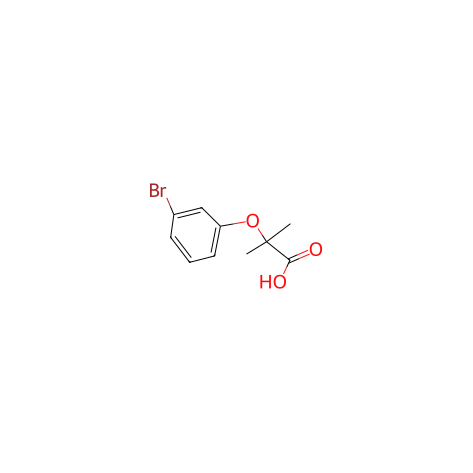 CC(C)(Oc1cccc(Br)c1)C(=O)O